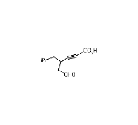 CC(C)CC(C#CC(=O)O)CC=O